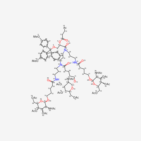 COc1ccc(C(OCC(OC(=O)CCC(C)=O)C(=O)N(CCCNC(=O)CCCCO[C@@H]2OC(COC(C)=O)[C@H](OC(C)=O)[C@H](OC(C)=O)C2NC(C)=O)CCCN(CCCNC(=O)CCCCO[C@@H]2OC(COC(C)=O)[C@H](OC(C)=O)[C@H](OC(C)=O)C2NC(C)=O)C(=O)CCCCO[C@@H]2OC(COC(C)=O)[C@H](OC(C)=O)[C@H](OC(C)=O)C2NC(C)=O)(c2ccccc2)c2ccc(OC)cc2)cc1